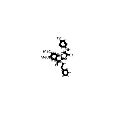 CCc1ccc(NC(=O)C(CC)Sc2nc3cc(OC)c(OC)cc3c(=O)n2CCC2=CCCCC2)cc1